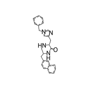 O=C1NC(Cc2ccc3ccccc3c2)CNC1Cc1cn(Cc2ccccc2)cn1